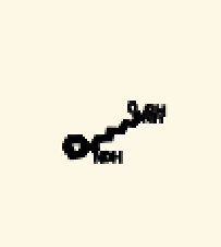 O=C(CCCCCC/C(=N\O)c1ccccc1)NO